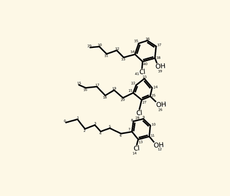 CCCCCCCc1cccc(O)c1Cl.CCCCCCc1cccc(O)c1Cl.CCCCCc1cccc(O)c1Cl